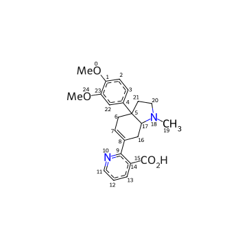 COc1ccc(C23CC=C(c4ncccc4C(=O)O)CC2N(C)CC3)cc1OC